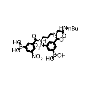 CCCCNC(=O)CN(CCCNC(=O)c1cc(B(O)O)cc([N+](=O)[O-])c1)C(=O)c1cc(B(O)O)cc([N+](=O)[O-])c1